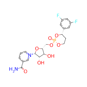 NC(=O)c1ccc[n+]([C@@H]2O[C@H](COP3(=O)OCC[C@@H](c4cc(F)cc(F)c4)O3)C(O)[C@@H]2O)c1